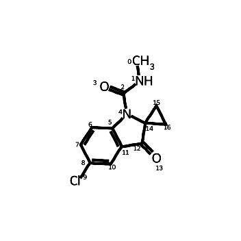 CNC(=O)N1c2ccc(Cl)cc2C(=O)C12CC2